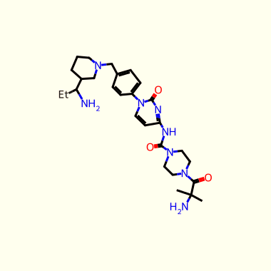 CCC(N)C1CCCN(Cc2ccc(-n3ccc(NC(=O)N4CCN(C(=O)C(C)(C)N)CC4)nc3=O)cc2)C1